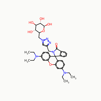 CCN(CC)c1ccc2c(c1)Oc1cc(N(CC)CC)ccc1C21c2ccccc2C(=O)N1Cc1cn(CC2O[C@H](O)[C@@H](O)C(O)[C@H]2O)nn1